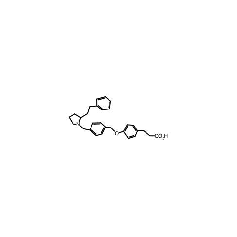 O=C(O)CCc1ccc(OCc2ccc(CN3CCCC3CCc3ccccc3)cc2)cc1